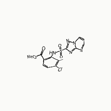 COC(=O)c1ccc(Cl)c(C)c1NS(=O)(=O)c1nc2ncccn2n1